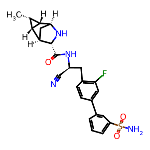 C[C@H]1[C@H]2[C@H]3C[C@H](N[C@@H]3C(=O)N[C@H](C#N)Cc3ccc(-c4cccc(S(N)(=O)=O)c4)cc3F)[C@@H]12